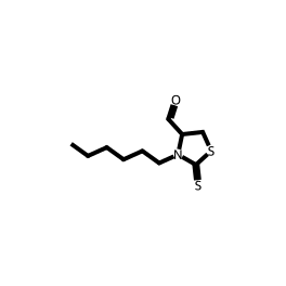 CCCCCCN1C(=S)SCC1C=O